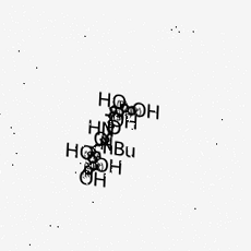 CCCCN(CCCNC(=O)CCC(C)C1CCC2C3C(C[C@H](O)[C@]12C)[C@@]1(C)CC[C@@H](O)CC1C[C@H]3O)C(=O)CCC(C)C1CCC2C3C(C[C@H](O)[C@]12C)[C@@]1(C)CC[C@@H](O)CC1C[C@H]3O